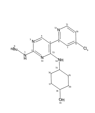 CCCCNc1ncc(-c2cc(Cl)ccn2)c(NC2CCC(O)CC2)n1